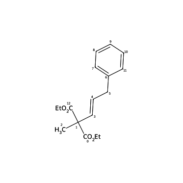 CCOC(=O)C(C)(C=CCc1ccccc1)C(=O)OCC